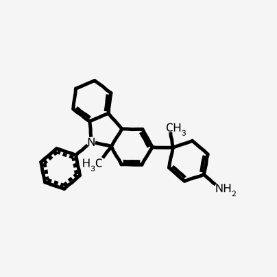 CC1(C2=CC3C4=CCCC=C4N(c4ccccc4)C3(C)C=C2)C=CC(N)=CC1